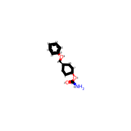 NC(=O)O[C@H]1CC[C@@H](COc2ccccc2)CC1